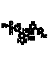 CC(=O)c1ccc(-c2cncc3[nH]c(C(=N)c4cc(-c5cncc(NC(=O)C(C)C)c5)ccc4N)nc23)s1